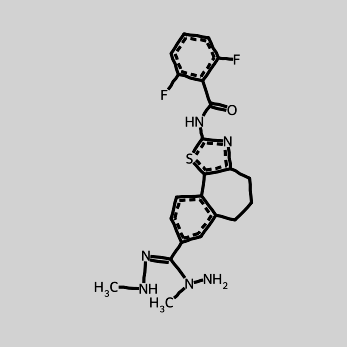 CN/N=C(/c1ccc2c(c1)CCCc1nc(NC(=O)c3c(F)cccc3F)sc1-2)N(C)N